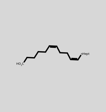 CCCCCCC/C=C\CC/C=C\CCCCC(=O)O